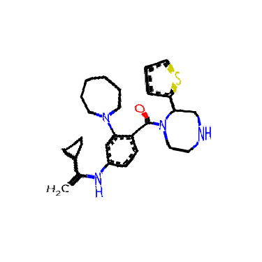 C=C(Nc1ccc(C(=O)N2CCNCC2c2cccs2)c(N2CCCCCC2)c1)C1CC1